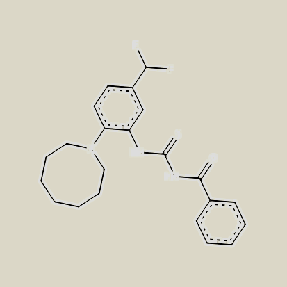 O=C(NC(=S)Nc1cc(C(F)F)ccc1N1CCCCCCC1)c1ccccc1